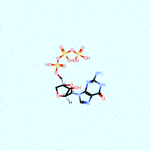 Nc1nc2c(ncn2[C@@H]2O[C@]3(COP(=O)(O)OP(=O)(O)OP(=O)(O)O)CO[C@H]2C3O)c(=O)[nH]1